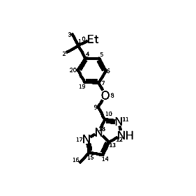 CCC(C)(C)c1ccc(OCc2n[nH]c3cc(C)nn23)cc1